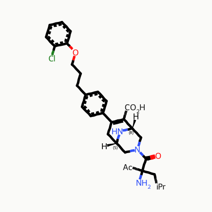 CC(=O)C(N)(CC(C)C)C(=O)N1C[C@@H]2CC(c3ccc(CCCOc4ccccc4Cl)cc3)=C(C(=O)O)[C@H](C1)N2